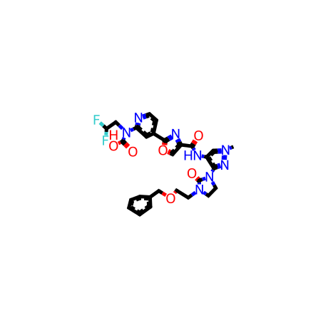 Cn1cc(NC(=O)c2coc(-c3ccnc(N(CC(F)F)C(=O)O)c3)n2)c(N2CCN(CCOCc3ccccc3)C2=O)n1